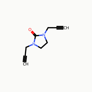 C#CCN1CCN(CC#C)C1=O